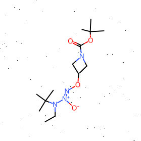 CCN(/[N+]([O-])=N/OC1CN(C(=O)OC(C)(C)C)C1)C(C)(C)C